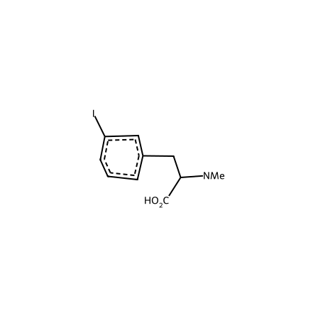 CNC(Cc1cccc(I)c1)C(=O)O